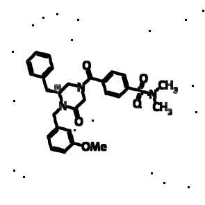 COc1cccc(CN2C(=O)CN(C(=O)c3ccc(S(=O)(=O)N(C)C)cc3)C[C@@H]2Cc2ccccc2)c1